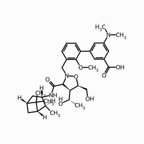 COc1c(CN2O[C@@H](CO)[C@@H]([C@H](C)O)C2C(=O)N[C@H]2C[C@H]3C[C@@H]([C@@H]2C)C3(C)C)cccc1-c1cc(C(=O)O)cc(N(C)C)c1